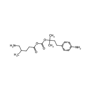 CC(CN)CCC(=O)OC(=O)OC(C)(C)CCc1ccc(N)cc1